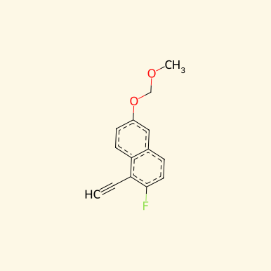 C#Cc1c(F)ccc2cc(OCOC)ccc12